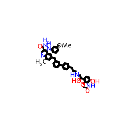 COc1cccc(Nc2c(C(N)=O)cnc3c(C)cc(Cc4cccc(-c5ccc(CCCNC[C@H](O)c6ccc(O)c7c6OCC(=O)N7)cc5)c4)cc23)c1